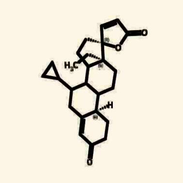 CC[C@]12CCC3C(C(C4CC4)CC4=CC(=O)CC[C@@H]43)C1CC[C@@]21C=CC(=O)O1